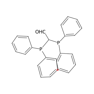 O=CC(P(c1ccccc1)c1ccccc1)P(c1ccccc1)c1ccccc1